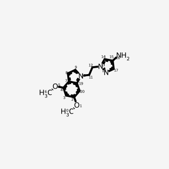 COc1cc(OC)c2ccn(CCn3cc(N)cn3)c2c1